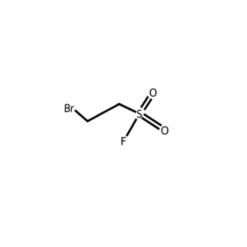 O=S(=O)(F)CCBr